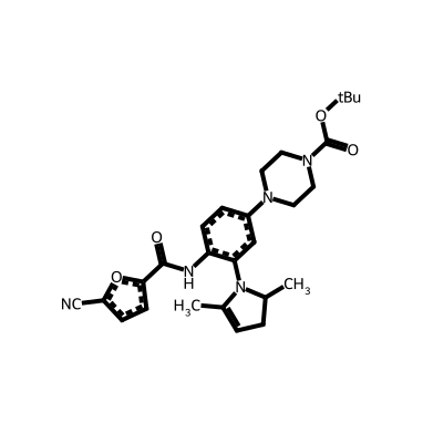 CC1=CCC(C)N1c1cc(N2CCN(C(=O)OC(C)(C)C)CC2)ccc1NC(=O)c1ccc(C#N)o1